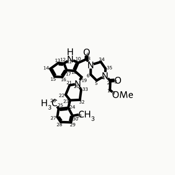 COCC(=O)N1CCN(C(=O)c2[nH]c3ccccc3c2CN2CCC(c3c(C)cccc3C)CC2)CC1